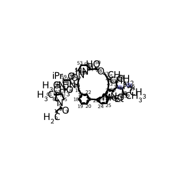 C=CC(=O)N1C[C@@H](C(=O)N(C)[C@H](C(=O)N[C@H]2Cc3cccc(c3)-c3ccc4c(c3)c(c(/C(C=C)=C(/N=C\C)[C@H](C)OC)n4CC)CC(C)(C)COC(=O)[C@@H]3CCCN(N3)C2=O)C(C)C)C(C)(C)C1